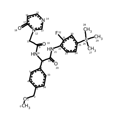 COCc1ccc(C(NC(=O)Cn2cnccc2=O)C(=O)Nc2ccc(S(C)(C)C)cc2F)cc1